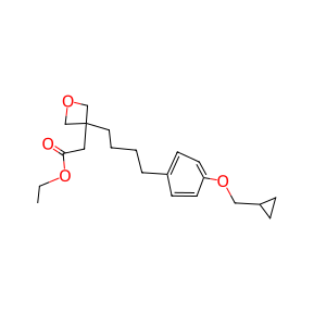 CCOC(=O)CC1(CCCCc2ccc(OCC3CC3)cc2)COC1